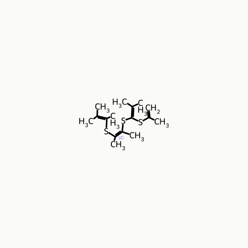 C=C(C)SC(S/C(C)=C(/C)SC(C)=C(C)C)=C(C)C